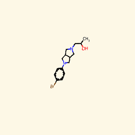 CC(O)CN1CC2CN(c3ccc(Br)cc3)CC2C1